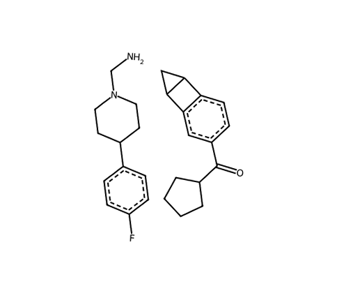 NCN1CCC(c2ccc(F)cc2)CC1.O=C(c1ccc2c(c1)C1CC21)C1CCCC1